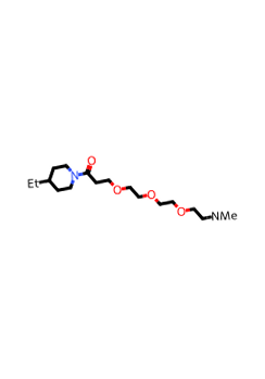 CCC1CCN(C(=O)CCOCCOCCOCCNC)CC1